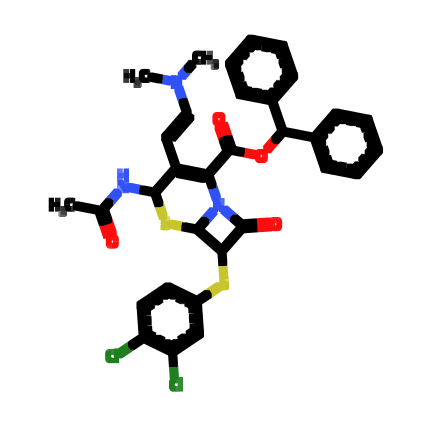 CC(=O)NC1SC2C(Sc3ccc(Cl)c(Cl)c3)C(=O)N2C(C(=O)OC(c2ccccc2)c2ccccc2)=C1C=CN(C)C